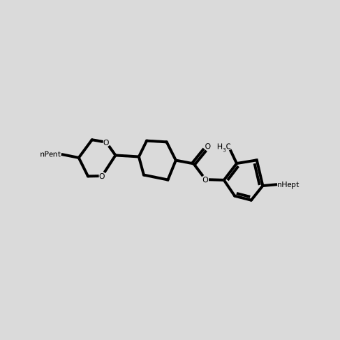 CCCCCCCc1ccc(OC(=O)C2CCC(C3OCC(CCCCC)CO3)CC2)c(C)c1